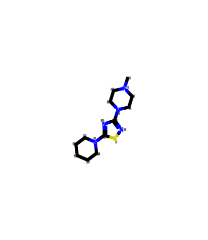 CN1CCN(c2nsc(N3CCCCC3)n2)CC1